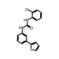 O=C(Nc1cccc(-c2cccs2)c1)Nc1ccccc1Cl